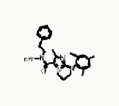 CCCN(CCc1ccccc1)C(=O)c1c(C)nc2n1CCCN2c1c(C)cc(C)cc1C